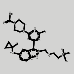 Cc1nc(-c2c3cc(OC4(C)CC4)ccc3nn2COCC[Si](C)(C)C)cc(N2CCN(C(=O)O)CC2)n1